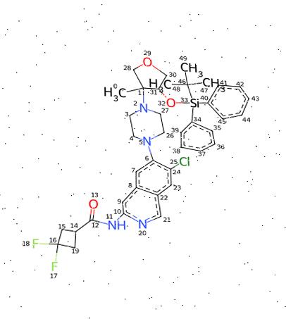 CC1(N2CCN(c3cc4cc(NC(=O)C5CC(F)(F)C5)ncc4cc3Cl)CC2)COCC1O[Si](c1ccccc1)(c1ccccc1)C(C)(C)C